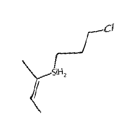 CC=C(C)[SiH2]CCCCl